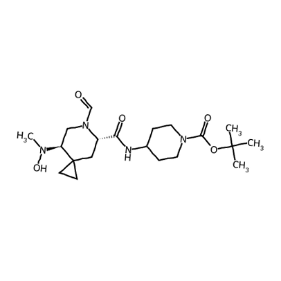 CN(O)[C@H]1CN(C=O)[C@H](C(=O)NC2CCN(C(=O)OC(C)(C)C)CC2)CC12CC2